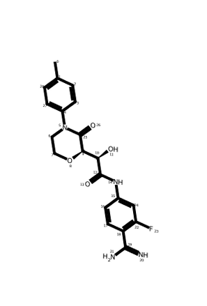 Cc1ccc(N2CCO[C@H]([C@@H](O)C(=O)Nc3ccc(C(=N)N)c(F)c3)C2=O)cc1